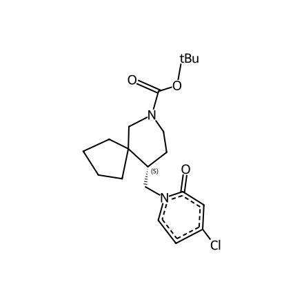 CC(C)(C)OC(=O)N1CC[C@H](Cn2ccc(Cl)cc2=O)C2(CCCC2)C1